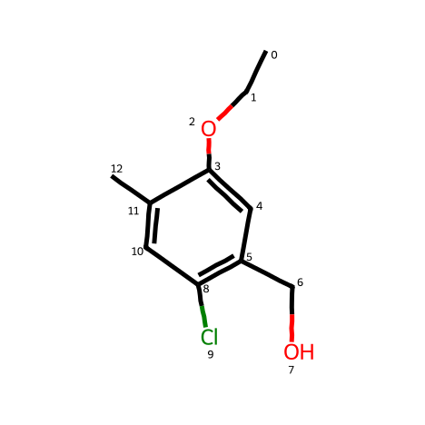 CCOc1cc(CO)c(Cl)cc1C